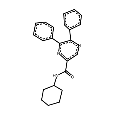 O=C(NC1CCCCC1)c1cnc(-c2ccccc2)c(-c2ccccc2)n1